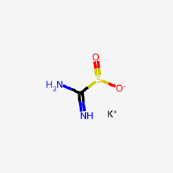 N=C(N)S(=O)[O-].[K+]